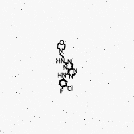 Fc1ccc(Nc2ncnc3cnc(NCCN4CCOCC4)nc23)cc1Cl